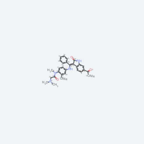 COC(=O)c1ccc2c(c1)NC(=O)C2=C(Nc1ccc(N(C)C(=O)CN(C)C)c(OC)c1)c1ccccc1